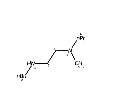 CCCCNCCN(C)CCC